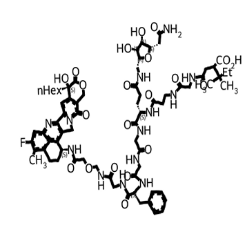 CCCCCC[C@@]1(O)C(=O)OCc2c1cc1n(c2=O)Cc2c-1nc1cc(F)c(C)c3c1c2[C@@H](NC(=O)COCNC(=O)CNC(=O)[C@H](Cc1ccccc1)NC(=O)CNC(=O)CNC(=O)[C@H](CCC(=O)NC[C@H]1O[C@@H](CC(N)=O)[C@H](O)[C@@H]1O)NC(=O)CCNC(=O)CNC(=O)CC(C(=O)O)C(C)(C)CC)CC3